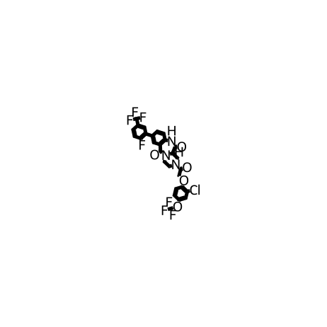 O=C1Nc2ccc(-c3cc(C(F)(F)F)ccc3F)cc2C(=O)N2CCN(C(=O)COc3ccc(OC(F)(F)F)cc3Cl)C[C@@H]12